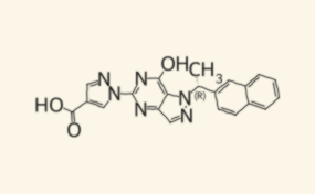 C[C@H](c1ccc2ccccc2c1)n1ncc2nc(-n3cc(C(=O)O)cn3)nc(O)c21